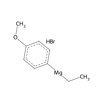 Br.C[CH2][Mg][c]1ccc(OC)cc1